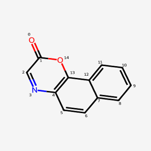 O=c1cnc2ccc3ccccc3c2o1